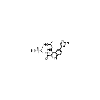 CC(O)CNc1c(C(=O)NCC(F)C(C)(C)O)cnc2ccc(-c3cn[nH]c3)cc12